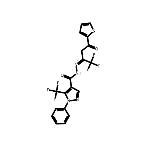 O=C(C/C(=N/NC(=O)c1cnn(-c2ccccc2)c1C(F)(F)F)C(F)(F)F)c1cccs1